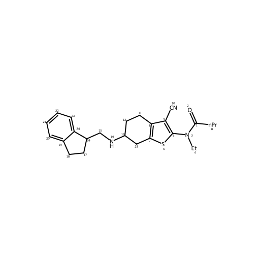 CCCC(=O)N(CC)c1sc2c(c1C#N)CCC(NCC1CCc3ccccc31)C2